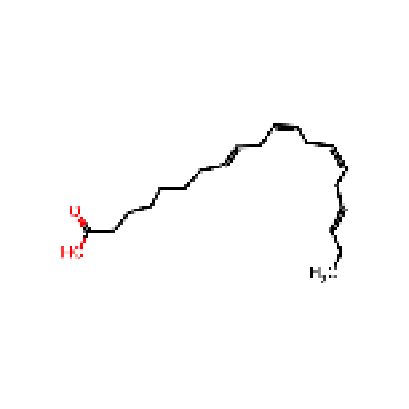 CC/C=C/C/C=C\C/C=C\C/C=C/CCCCCCC(=O)O